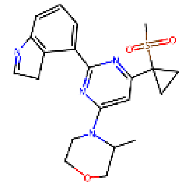 CC1COCCN1c1cc(C2(S(C)(=O)=O)CC2)nc(-c2cccc3c2CC=N3)n1